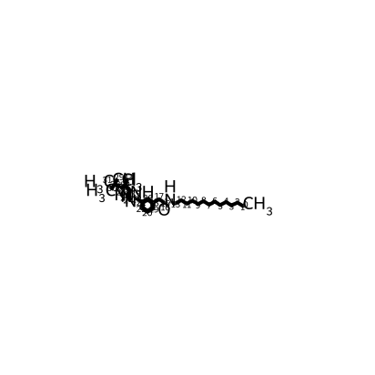 CCCCCCCCCCCCCCNC(=O)Cc1cccc(-c2nn3nc(C(C)(C)C)c(Cl)c3[nH]2)c1